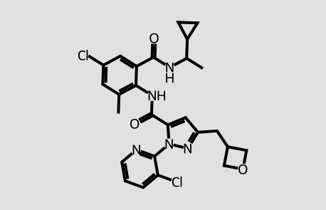 Cc1cc(Cl)cc(C(=O)NC(C)C2CC2)c1NC(=O)c1cc(CC2COC2)nn1-c1ncccc1Cl